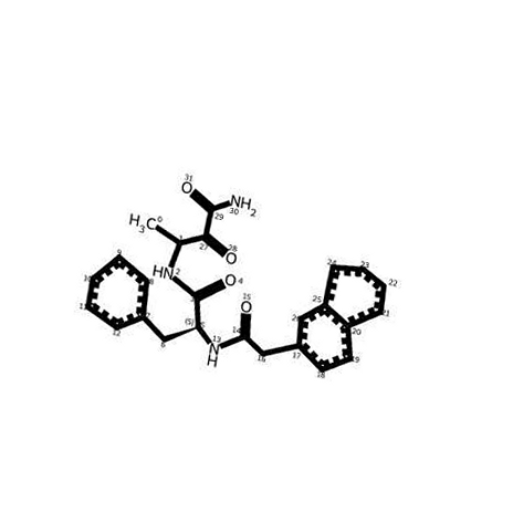 CC(NC(=O)[C@H](Cc1ccccc1)NC(=O)Cc1ccc2ccccc2c1)C(=O)C(N)=O